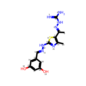 CC(=NNC(=N)N)c1sc(NN=Cc2cc(O)cc(O)c2)nc1C